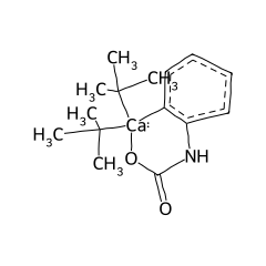 C[C](C)(C)[Ca]1([C](C)(C)C)[O]C(=O)Nc2cccc[c]21